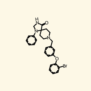 O=C1NCN(c2ccccc2)C12CCN(Cc1cccc(Oc3ccccc3Br)c1)CC2